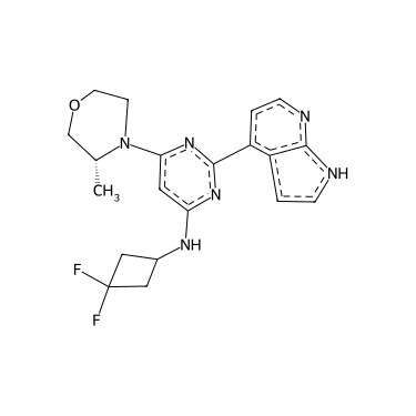 C[C@@H]1COCCN1c1cc(NC2CC(F)(F)C2)nc(-c2ccnc3[nH]ccc23)n1